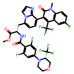 COC(=O)[C@H](Cc1ccc(-c2c(C(F)(F)F)c3cc(F)ccc3n(C)c2=O)c2nccn12)NC(=O)c1c(F)cc(N2CCOC[C@H]2C(F)(F)F)cc1F